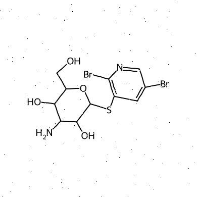 NC1C(O)C(CO)OC(Sc2cc(Br)cnc2Br)C1O